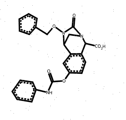 O=C(Nc1ccccc1)Oc1ccc2c(c1)C1CN(C(=O)N1OCc1ccccc1)C2C(=O)O